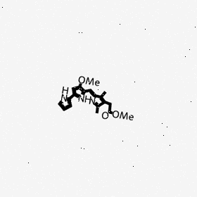 COC(=O)CC1=C(C)/C(=C/c2[nH]c(-c3ccc[nH]3)cc2OC)N=C1C